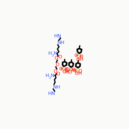 Cc1ccc(S(=O)(=O)O)cc1.Cc1ccc(S(=O)(=O)O)cc1.Cc1ccc(S(=O)(=O)O)cc1.Cc1ccc(S(=O)(=O)O)cc1.N=CCNCCCCC(N)C(=O)OCCOCCOC(=O)C(N)CCCCNCC=N